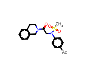 CC(=O)c1ccc(N(CC(=O)N2CCc3ccccc3C2)S(C)(=O)=O)cc1